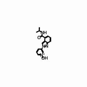 CC(C)NC(=O)c1cccc2nn(-c3ccc[n+](O)c3)cc12